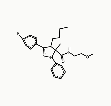 CCCCC1C(c2ccc(F)cc2)=NN(c2ccccc2)C1(C)C(=O)NCCOC